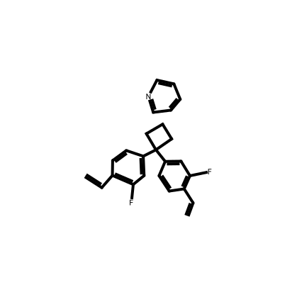 C=Cc1ccc(C2(c3ccc(C=C)c(F)c3)CCC2)cc1F.c1ccncc1